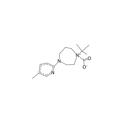 Cc1ccc(N2CCC[N+](C(=O)[O-])(C(C)(C)C)CC2)nc1